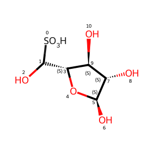 O=S(=O)(O)C(O)[C@H]1O[C@H](O)[C@@H](O)[C@@H]1O